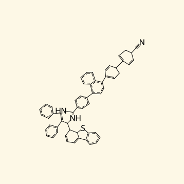 N#CC1C=CC(C2C=CC(c3ccc(-c4ccc(C5NC(c6ccccc6)=C(c6ccccc6)C(C6C=CC=C7c8ccccc8SC76)N5)cc4)c4ccccc34)=CC2)=CC1